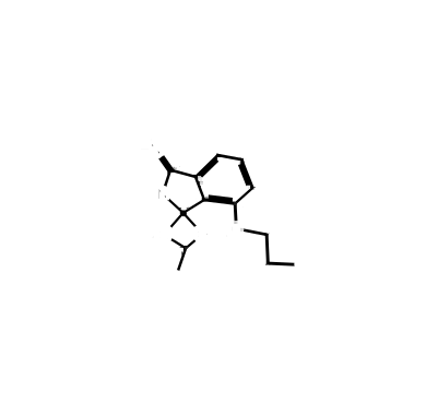 CCCOc1cccc2c1C1(NC2=N)OC(C)O1